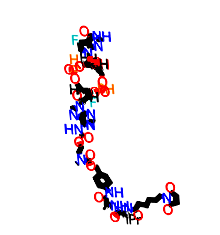 CC(C)[C@H](NC(=O)CCCCCN1C(=O)C=CC1=O)C(=O)N[C@@H](C)C(=O)Nc1ccc(COC(=O)N(C)CCOC(=O)Nc2ncnc3c2ncn3[C@@H]2O[C@@H]3CO[PH](=O)O[C@H]4C(n5cc(F)c6c(=O)[nH]cnc65)O[C@H](CO[PH](=O)O[C@H]3[C@H]2F)[C@H]4O)cc1